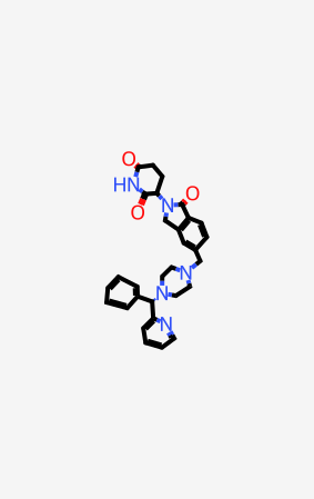 O=C1CCC(N2Cc3cc(CN4CCN([C@@H](c5ccccc5)c5ccccn5)CC4)ccc3C2=O)C(=O)N1